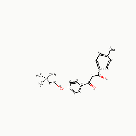 CC(C)(C)c1ccc(C(=O)CC(=O)c2ccc(OCC[Si](C)(C)C)cc2)cc1